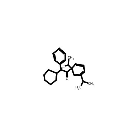 CC(C)C1=CC=CC(C(=O)C(c2ccccc2)C2CCCCC2)(C(C)C)[CH]1